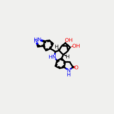 O=C1Cc2c(ccc3c2[C@H]2C4CC([C@H]2C(c2ccc5[nH]ncc5c2)N3)[C@H](O)[C@@H]4O)N1